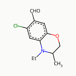 CCN1c2cc(Cl)c(C=O)cc2OCC1C